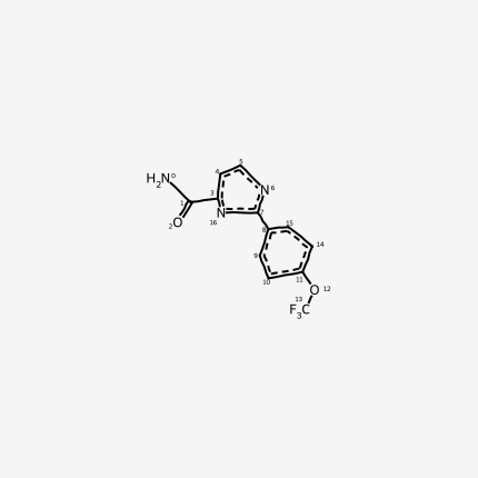 NC(=O)c1ccnc(-c2ccc(OC(F)(F)F)cc2)n1